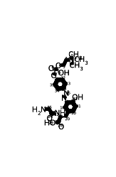 C[N+](C)(C)CCOP(=O)(O)Oc1ccc(/N=N/c2cc(C[C@H](NC(=O)CN)C(=O)O)ccc2O)cc1